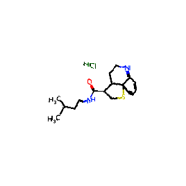 CC(C)CCNC(=O)C1CSC23C=CC=CC2=NCCC13.Cl